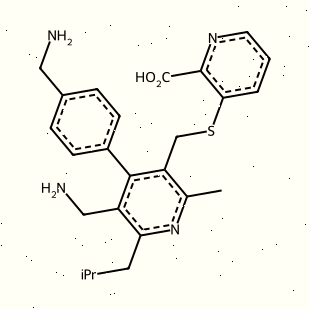 Cc1nc(CC(C)C)c(CN)c(-c2ccc(CN)cc2)c1CSc1cccnc1C(=O)O